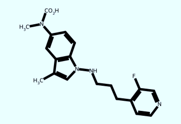 Cc1cn(NCCCc2ccncc2F)c2ccc(N(C)C(=O)O)cc12